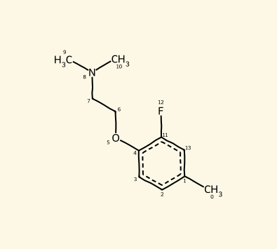 Cc1ccc(OCCN(C)C)c(F)c1